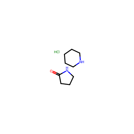 C1CCNCC1.Cl.O=C1CCCN1